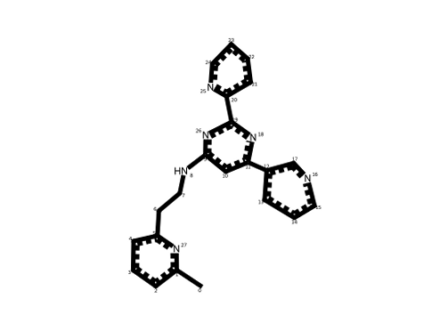 Cc1cccc(CCNc2cc(-c3cccnc3)nc(-c3ccccn3)n2)n1